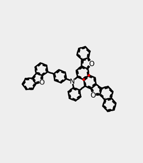 c1ccc(N(c2ccc(-c3cccc4c3oc3ccccc34)cc2)c2ccc3oc4ccccc4c3c2)c(-c2cccc3c2oc2c4ccccc4ccc32)c1